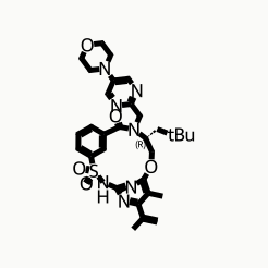 C=C(C)c1nc2nc(c1C)OC[C@@H](CC(C)(C)C)N(Cc1ncc(N3CCOCC3)cn1)C(=O)c1cccc(c1)S(=O)(=O)N2